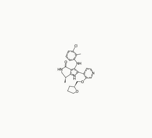 Cc1c(Cl)cccc1Nc1c(-c2ccncc2OC[C@@H]2CCCO2)[nH]c2c1C(=O)NC[C@@H]2C